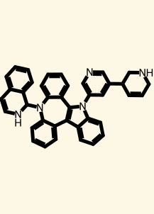 C1=CC(c2cncc(-n3c4c(c5ccccc53)-c3ccccc3N(C3NC=Cc5ccccc53)c3ccccc3-4)c2)CNC1